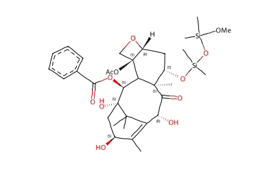 CO[Si](C)(C)O[Si](C)(C)O[C@H]1C[C@H]2OC[C@@]2(OC(C)=O)C2[C@H](OC(=O)c3ccccc3)[C@]3(O)C[C@H](O)C(C)=C([C@@H](O)C(=O)[C@@]21C)C3(C)C